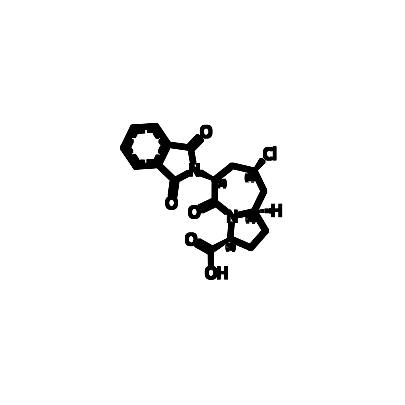 O=C(O)[C@@H]1CC[C@@H]2C[C@H](Cl)C[C@H](N3C(=O)c4ccccc4C3=O)C(=O)N21